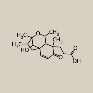 CC1OC2(C)C(C)CC3(C=CC(=O)C(C)(CCC(=O)O)C13)C2O